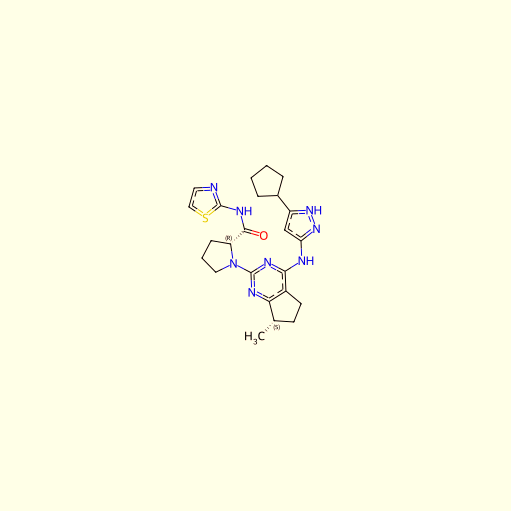 C[C@H]1CCc2c(Nc3cc(C4CCCC4)[nH]n3)nc(N3CCC[C@@H]3C(=O)Nc3nccs3)nc21